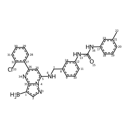 Bc1cnn2c(NCc3cccc(NC(=O)Nc4cccc(C)c4)c3)cc(-c3ccccc3Cl)nc12